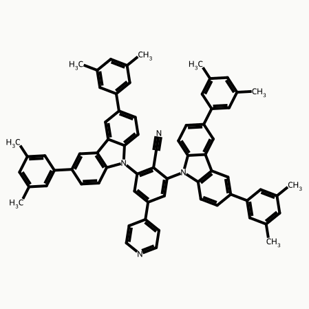 Cc1cc(C)cc(-c2ccc3c(c2)c2cc(-c4cc(C)cc(C)c4)ccc2n3-c2cc(-c3ccncc3)cc(-n3c4ccc(-c5cc(C)cc(C)c5)cc4c4cc(-c5cc(C)cc(C)c5)ccc43)c2C#N)c1